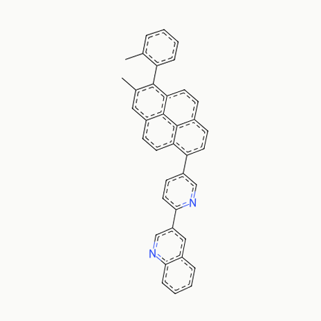 Cc1ccccc1-c1c(C)cc2ccc3c(-c4ccc(-c5cnc6ccccc6c5)nc4)ccc4ccc1c2c43